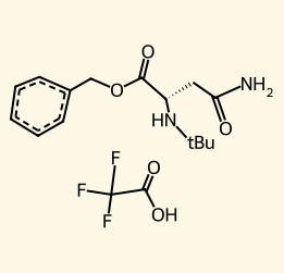 CC(C)(C)N[C@@H](CC(N)=O)C(=O)OCc1ccccc1.O=C(O)C(F)(F)F